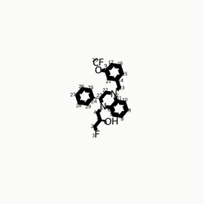 O[C@@H](CF)CN1c2ccccc2N(Cc2cccc(OC(F)(F)F)c2)C[C@H]1c1ccccc1